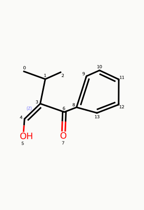 CC(C)/C(=C/O)C(=O)c1ccccc1